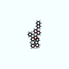 c1ccc(-c2ccccc2N(c2ccc(-c3ccc4ccccc4c3)cc2)c2ccccc2-c2ccc3c(c2)Oc2ccccc2C32c3ccccc3-c3ccccc32)cc1